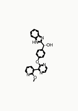 COc1ncccc1-c1nccnc1Oc1ccc([C@@H](O)c2nc3ccccc3[nH]2)cc1